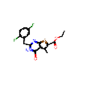 CCOC(=O)c1sc2nc(Cc3cc(F)ccc3F)[nH]c(=O)c2c1C